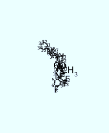 C[C@@H]1CN(c2ccc(F)cc2C(F)(F)F)CCN1S(=O)(=O)c1cccc(N2CCN(C3CCCCC3)CC2)c1